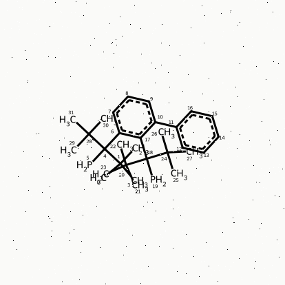 CC(C)(C)C(P)(c1cccc(-c2ccccc2)c1C(P)(C(C)(C)C)C(C)(C)C)C(C)(C)C